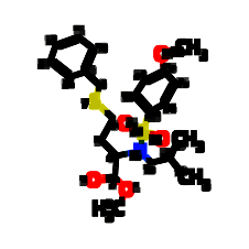 COC(=O)C(CCSCc1ccccc1)N(CC(C)C)S(=O)(=O)c1ccc(OC)cc1